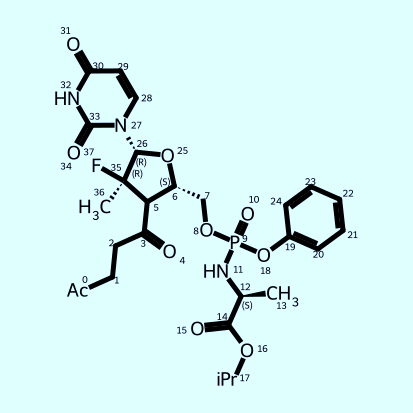 CC(=O)CCC(=O)C1[C@@H](COP(=O)(N[C@@H](C)C(=O)OC(C)C)Oc2ccccc2)O[C@@H](n2ccc(=O)[nH]c2=O)[C@]1(C)F